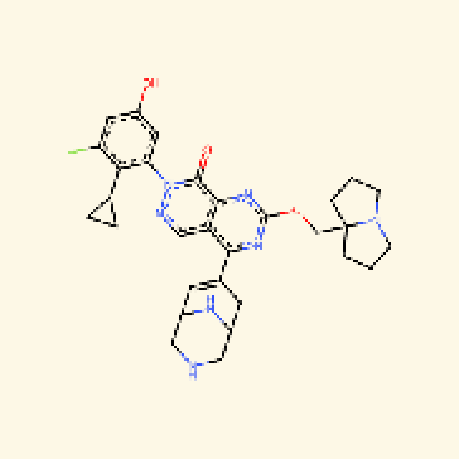 O=c1c2nc(OCC34CCCN3CCC4)nc(C3=CC4CNCC(C3)N4)c2cnn1-c1cc(O)cc(F)c1C1CC1